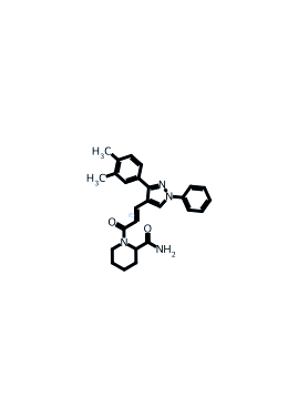 Cc1ccc(-c2nn(-c3ccccc3)cc2/C=C/C(=O)N2CCCCC2C(N)=O)cc1C